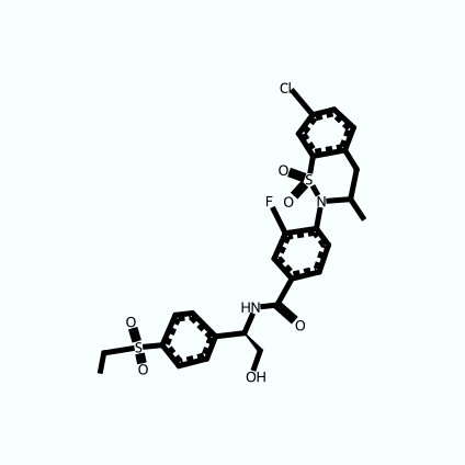 CCS(=O)(=O)c1ccc([C@H](CO)NC(=O)c2ccc(N3C(C)Cc4ccc(Cl)cc4S3(=O)=O)c(F)c2)cc1